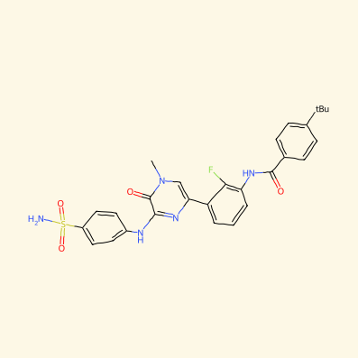 Cn1cc(-c2cccc(NC(=O)c3ccc(C(C)(C)C)cc3)c2F)nc(Nc2ccc(S(N)(=O)=O)cc2)c1=O